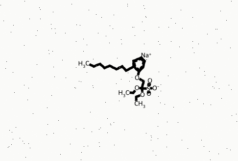 CCCCCCCCc1ccccc1OCC(OCC)(OCC)S(=O)(=O)[O-].[Na+]